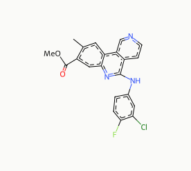 COC(=O)c1cc2nc(Nc3ccc(F)c(Cl)c3)c3ccncc3c2cc1C